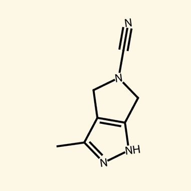 Cc1n[nH]c2c1CN(C#N)C2